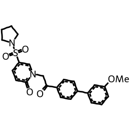 COc1cccc(-c2ccc(C(=O)Cn3cc(S(=O)(=O)N4CCCC4)ccc3=O)cc2)c1